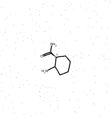 NC(=O)[C@H]1CCCCC1N